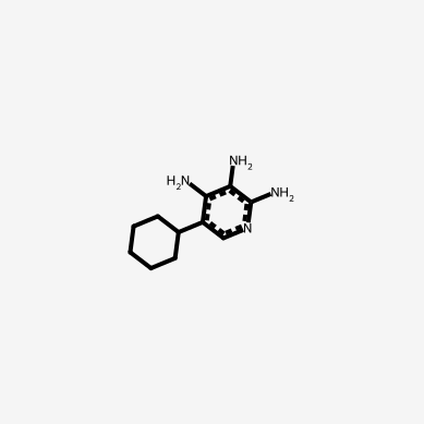 Nc1ncc(C2CCCCC2)c(N)c1N